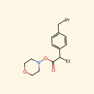 CCC(C(=O)ON1CCOCC1)c1ccc(CC(C)C)cc1